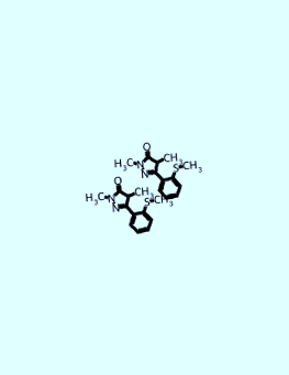 CSc1ccccc1C1=NN(C)C(=O)C1C.CSc1ccccc1C1=NN(C)C(=O)C1C